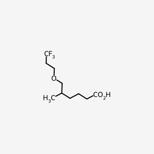 CC(CCCC(=O)O)COCCC(F)(F)F